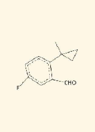 CC1(c2ccc(F)cc2C=O)CC1